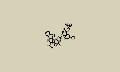 CC(=O)[C@@H]1C[C@H](Oc2ncc(Cl)cc2[C@]2(F)CCS(=O)(=O)C[C@H]2C)CN1c1nc(C(F)F)nc2c1oc1ccccc12